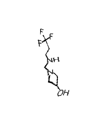 OC1CN(CNCCC(F)(F)F)C1